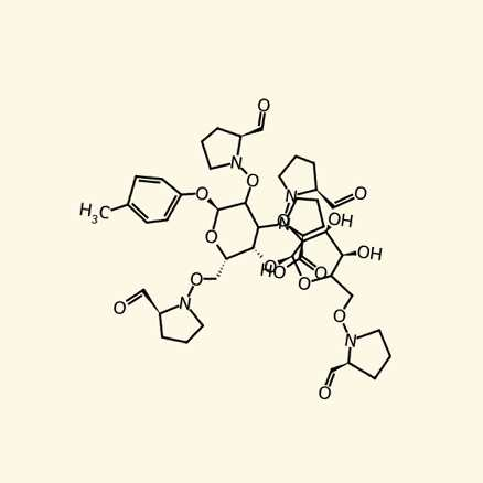 Cc1ccc(O[C@@H]2O[C@@H](CON3CCC[C@H]3C=O)[C@@H](O[C@@H]3OC(CON4CCC[C@H]4C=O)[C@H](O)[C@H](O)C3ON3CCC[C@H]3C=O)C(N3CCC[C@H]3C(=O)O)C2ON2CCC[C@H]2C=O)cc1